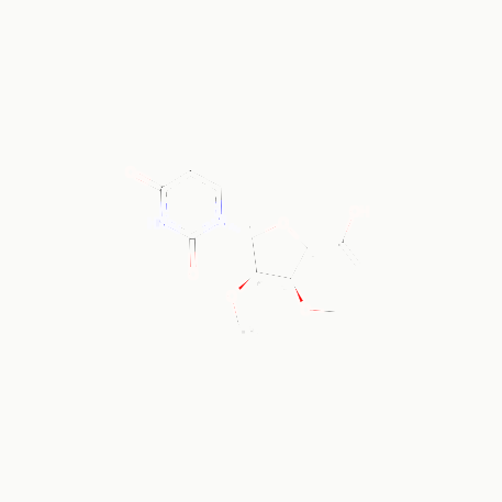 CCCCO[C@@H]1[C@H](OCCCC)[C@@H]([C](O)=[Sn])O[C@H]1n1ccc(=O)[nH]c1=O